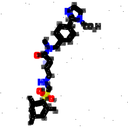 Cc1cc(C)c(S(=O)(=O)CNC/C=C/C(=O)N(C)Cc2ccc(C3=NCCN3C(=O)O)cc2)c(C)c1